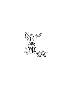 COCCN1C[C@@H](NC(=O)Nc2c(C)c(-c3cnc4c(c3)ncn4C)nn2-c2ccccc2)[C@H](c2ccccc2)C1